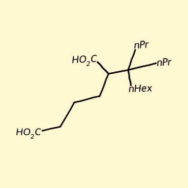 CCCCCCC(CCC)(CCC)C(CCCC(=O)O)C(=O)O